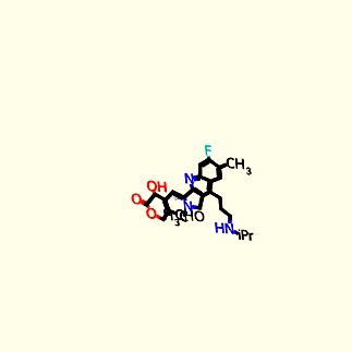 Cc1cc2c(CCCNC(C)C)c3c(nc2cc1F)/C(=C/C1=C(C=O)COC(=O)C1O)N(C)C3